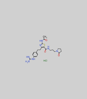 CC(=O)Nc1nc(CCc2ccc(NC(=N)N)cc2)c(C(=O)NCCCN2CCCC2=O)s1.Cl